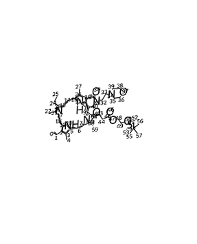 C=Cc1c(C)c2cc3nc(c4c5[nH]c(cc6nc(cc1[nH]2)C(C)=C6CC)c(C)c5C(=O)N(CCN1CCOCC1)C4=O)[C@@H](CCC(=O)OCCO[Si](C)(C)C(C)(C)C)[C@@H]3C